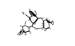 Fc1ccc2c(c1)C(N1CCNCC1)Cc1ccc(Cl)cc1S2